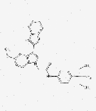 CCC(N)(CC)c1ccc(NC(=O)Cn2cc(-c3cc4cccnc4[nH]3)c3cc(OC)ccc32)cc1